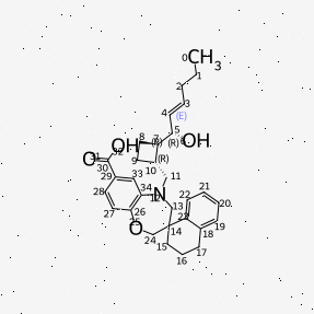 CCC/C=C/[C@H](O)[C@@H]1CC[C@H]1CN1CC2(CCCc3ccccc32)COc2ccc(C(=O)O)cc21